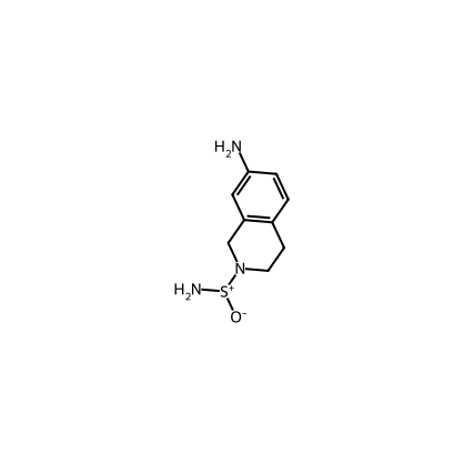 Nc1ccc2c(c1)CN([S+](N)[O-])CC2